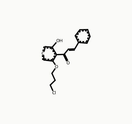 O=C(/C=C/c1ccccc1)c1c(O)cccc1OCCCCl